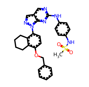 CS(=O)(=O)Nc1ccc(Nc2ncc3cnn(-c4ccc(OCc5ccccc5)c5c4CCCC5)c3n2)cc1